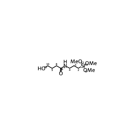 CO[Si](CCCNC(=O)CCCO)(OC)OC